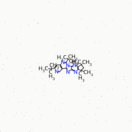 CC(C)(C)c1cc2nc(C(C)(C)C)n3c4nc5c(nc4nc3c2cn1)C(C)(C)CC5(C)C